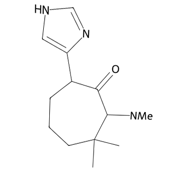 CNC1C(=O)C(c2c[nH]cn2)CCCC1(C)C